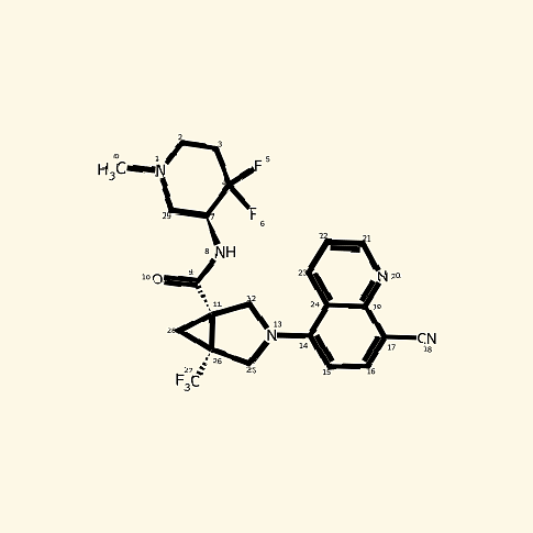 CN1CCC(F)(F)[C@@H](NC(=O)[C@]23CN(c4ccc(C#N)c5ncccc45)C[C@@]2(C(F)(F)F)C3)C1